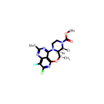 CC[C@H]1[C@H]2[C@H](C)Oc3nc(Cl)c(F)c4nc(SC)nc(c34)N2CCN1C(=O)OC(C)(C)C